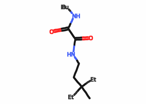 CCC(C)NC(=O)C(=O)NCCC(C)(CC)CC